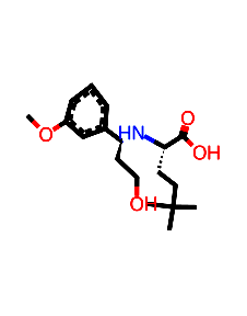 COc1cccc([C@H](CCO)N[C@@H](CCC(C)(C)C)C(=O)O)c1